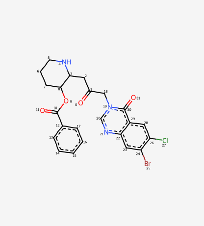 O=C(CC1NCCCC1OC(=O)c1ccccc1)Cn1cnc2cc(Br)c(Cl)cc2c1=O